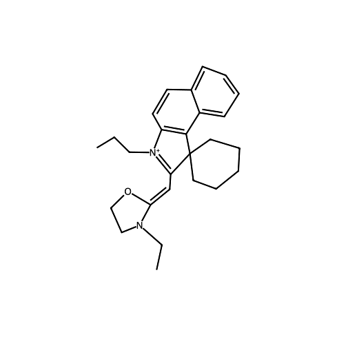 CCC[N+]1=C(/C=C2\OCCN2CC)C2(CCCCC2)c2c1ccc1ccccc21